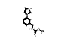 CC(C)(C)OC(=O)NCc1cccc(N2C=CSC2)c1